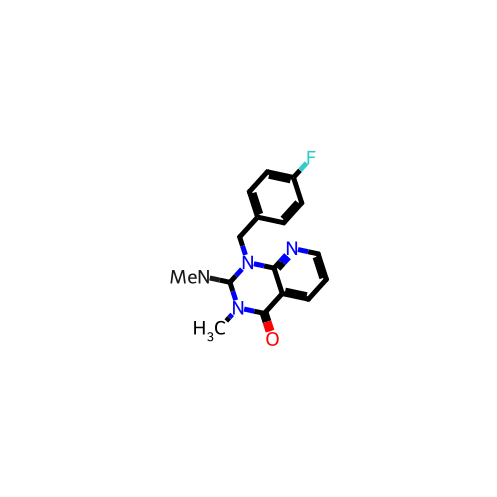 CNC1N(C)C(=O)c2cccnc2N1Cc1ccc(F)cc1